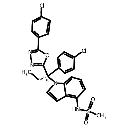 CC[C@@](c1ccc(Cl)cc1)(c1nnc(-c2ccc(Cl)cc2)o1)n1ccc2c(NS(C)(=O)=O)cccc21